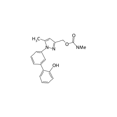 CNC(=O)OCc1cc(C)n(-c2cccc(-c3ccccc3O)c2)n1